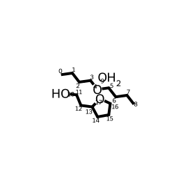 CCCCOCCCC.O.OCCC1CCCO1